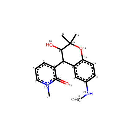 Cn1cccc(C2c3cc(NC=O)ccc3OC(C)(C)C2O)c1=O